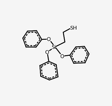 SCC[Si](Oc1ccccc1)(Oc1ccccc1)Oc1ccccc1